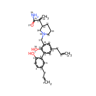 C=CCc1ccc(O)c(-c2cc(CC=C)cc(CN3CCCC(C(=C)C(N)=O)C3)c2O)c1